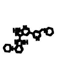 c1cc(N2CCCCC2)c2nc(-c3n[nH]c4ncc(-c5cncc(CN6CCCCC6)c5)cc34)[nH]c2c1